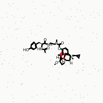 CO[C@@]12CC[C@@]3(C[C@@H]1C(C)(C)O)[C@H]1Cc4ccc(OC(=O)N(C)CCNC(=O)[C@H](Cc5ccc(O)cc5)NC(C)=O)c5c4[C@@]3(CC[N+]1(C)CC1CC1)[C@H]2O5